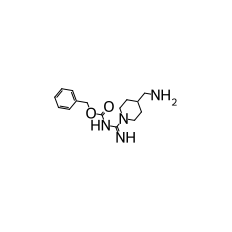 N=C(NC(=O)OCc1ccccc1)N1CCC(CN)CC1